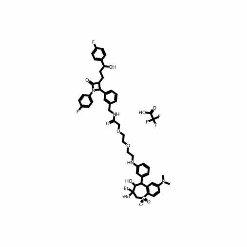 CCCCC1(CC)CS(=O)(=O)c2ccc(N(C)C)cc2C(c2cccc(NCCOCCOCC(=O)NCc3cccc(C4C(CCC(O)c5ccc(F)cc5)C(=O)N4c4ccc(F)cc4)c3)c2)C1O.O=C(O)C(F)(F)F